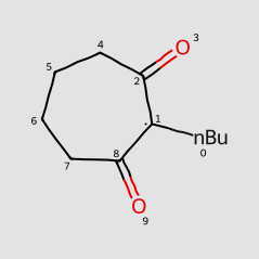 CCCC[C]1C(=O)CCCCC1=O